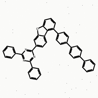 c1ccc(-c2ccc(-c3ccc(-c4cccc5oc6cc(-c7nc(-c8ccccc8)nc(-c8ccccc8)n7)ccc6c45)cc3)cc2)cc1